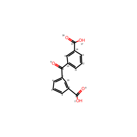 O=C(O)c1cccc(C(=O)c2cccc(C(=O)O)c2)c1